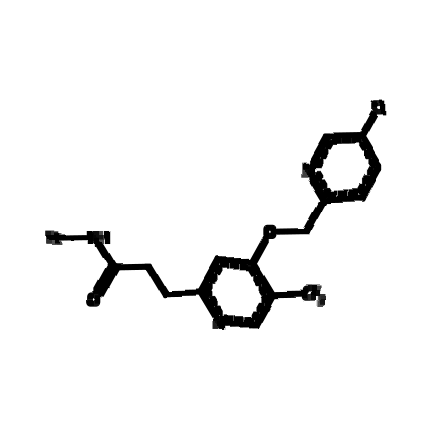 CCNC(=O)CCc1cc(OCc2ccc(Cl)cn2)c(C(F)(F)F)cn1